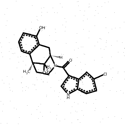 CC1(C)[C@H]2Cc3c(O)cccc3[C@]1(C)CCN2C(=O)c1c[nH]c2ccc(Cl)cc12